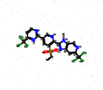 CCS(=O)(=O)c1cc(-c2nccc(C(F)(F)F)n2)cnc1-c1nc2cc(C(F)(F)F)ncc2n1C